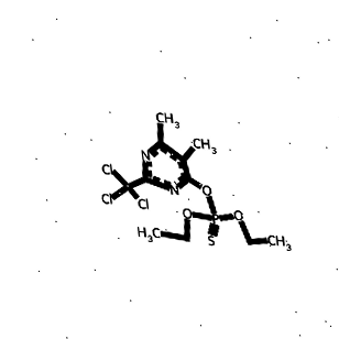 CCOP(=S)(OCC)Oc1nc(C(Cl)(Cl)Cl)nc(C)c1C